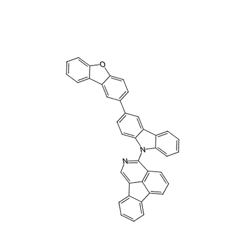 c1ccc2c(c1)-c1cccc3c(-n4c5ccccc5c5cc(-c6ccc7oc8ccccc8c7c6)ccc54)ncc-2c13